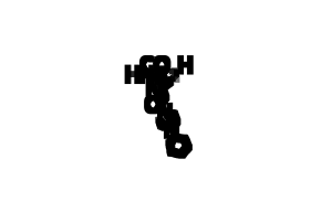 O=C(O)Nc1nc(CC(=O)N2CCN(C3CCCCC3)CC2)cs1